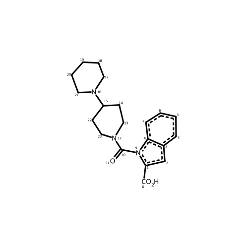 O=C(O)c1cc2ccccc2n1C(=O)N1CCC(N2CCCCC2)CC1